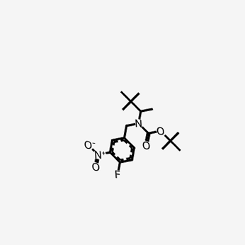 CC(N(Cc1ccc(F)c([N+](=O)[O-])c1)C(=O)OC(C)(C)C)C(C)(C)C